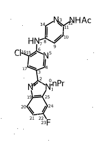 CCCn1c(-c2cnc(Nc3ccc(NC(C)=O)nc3)c(Cl)c2)nc2ccc(F)cc21